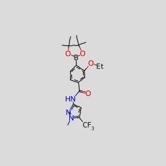 CCOc1cc(C(=O)Nc2cc(C(F)(F)F)n(C)n2)ccc1B1OC(C)(C)C(C)(C)O1